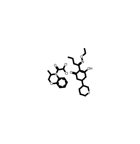 CC1COc2ccccc2N1C(=O)C(Cl)Cl.CCC/C(=N\OCC)C1=C(O)CC(C2CCCSC2)CC1=O